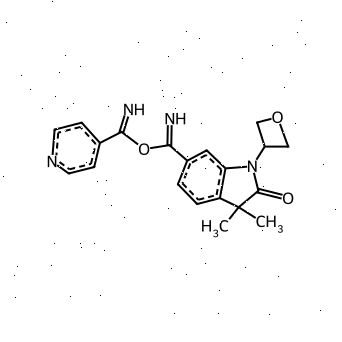 CC1(C)C(=O)N(C2COC2)c2cc(C(=N)OC(=N)c3ccncc3)ccc21